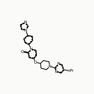 CCCc1cnc(N2CCC(Oc3ccn(-c4ccc(-n5ccnc5)cc4)c(=O)c3)CC2)nc1